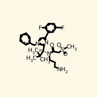 CC(C)(C)[C@H](c1nc(-c2cc(F)ccc2F)cn1Cc1ccccc1)N(CCCN)C(=O)CS(C)(=O)=O